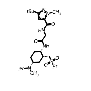 CCS(=O)(=O)C[C@@H]1C[C@H](N(C)C(C)C)CC[C@@H]1NC(=O)CNC(=O)c1cc(C(C)(C)C)nn1C